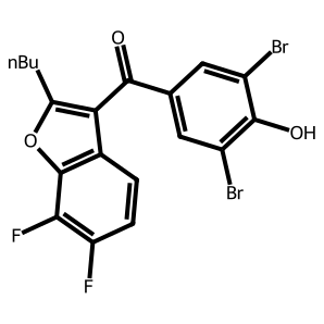 CCCCc1oc2c(F)c(F)ccc2c1C(=O)c1cc(Br)c(O)c(Br)c1